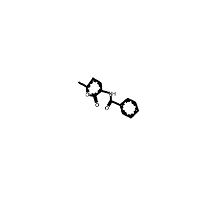 Cc1ccc(NC(=O)c2ccccc2)c(=O)o1